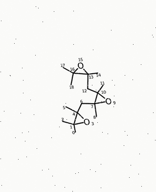 CC1(C)OC1(C)CC1(C)OC1(C)CC1(C)OC1(C)C